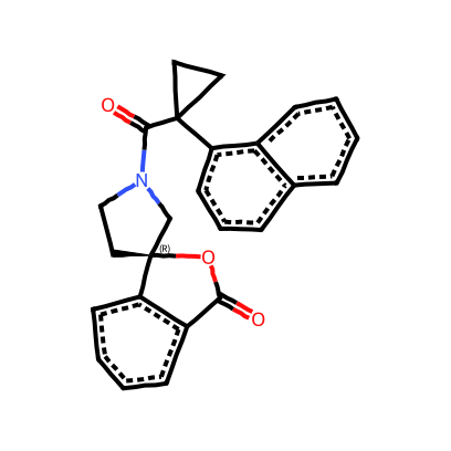 O=C1O[C@]2(CCN(C(=O)C3(c4cccc5ccccc45)CC3)C2)c2ccccc21